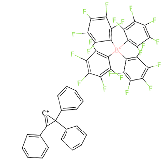 Fc1c(F)c(F)c([B-](c2c(F)c(F)c(F)c(F)c2F)(c2c(F)c(F)c(F)c(F)c2F)c2c(F)c(F)c(F)c(F)c2F)c(F)c1F.[C+]1=C(c2ccccc2)C1(c1ccccc1)c1ccccc1